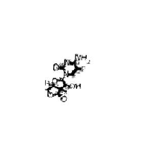 CC12C(=O)OC[C@H]1O[C@@H](n1cc(F)c(N)nc1=O)[C@H]2O